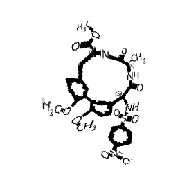 COC(=O)[C@@H]1Cc2ccc(OC)c(c2)-c2cc(ccc2OC)[C@H](NS(=O)(=O)c2ccc([N+](=O)[O-])cc2)C(=O)N[C@@H](C)C(=O)N1